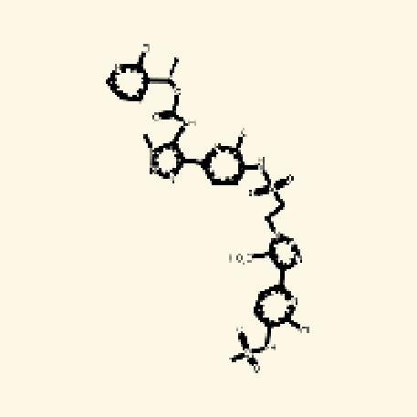 C[C@@H](OC(=O)Nc1c(-c2ccc(NS(=O)(=O)CCn3nnc(-c4ccc(NS(C)(=O)=O)c(Cl)n4)c3C(=O)O)c(Cl)n2)nnn1C)c1cccnc1Cl